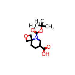 CC(C)(C)OC(=O)N1CC(C(=O)O)CCC12COC2